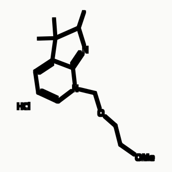 COCCOCN1C=CC=C2C1=NC(C)C2(C)C.Cl